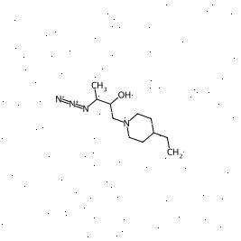 [CH2]CC1CCN(CC(O)C(C)N=[N+]=[N-])CC1